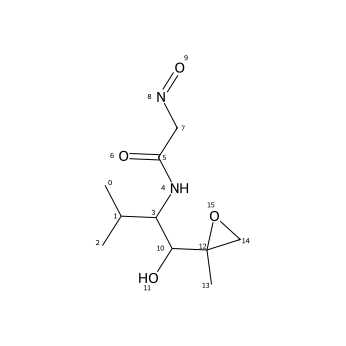 CC(C)C(NC(=O)CN=O)C(O)C1(C)CO1